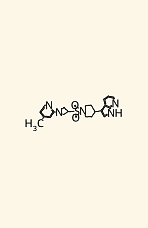 Cc1ccnc(N2CC(S(=O)(=O)N3CCC(c4c[nH]c5ncccc45)CC3)C2)c1